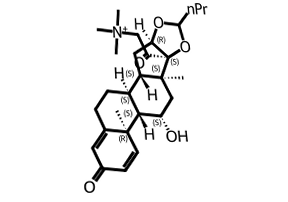 CCCC1O[C@@H]2C[C@H]3[C@@H]4CCC5=CC(=O)C=C[C@]5(C)[C@H]4[C@@H](O)C[C@]3(C)[C@]2(C(=O)C[N+](C)(C)C)O1